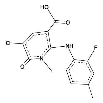 Cc1ccc(Nc2c(C(=O)O)cc(Cl)c(=O)n2C)c(F)c1